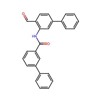 O=Cc1ccc(-c2ccccc2)cc1NC(=O)c1cccc(-c2ccccc2)c1